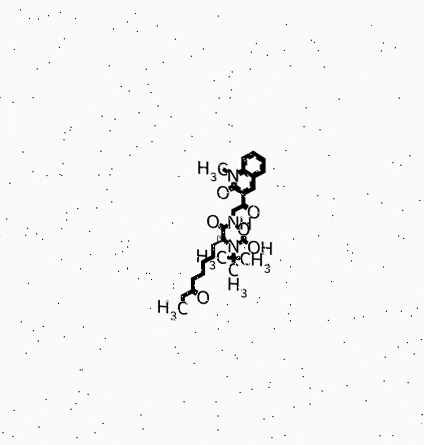 CCC(=O)CCCCC[C@@H](C(=O)NCC(=O)c1cc2ccccc2n(C)c1=O)N(C(=O)O)C(C)(C)C